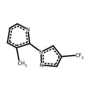 Cc1c[c]cnc1-n1cc(C(F)(F)F)cn1